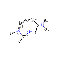 CCN(CC)C(C)C[N-]CC(C)N(CC)CC.C[CH2][Al+][CH2]C